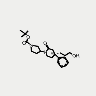 CC(C)(C)OC(=O)N1CCC(N2CC[C@](CCCO)(c3ccccc3)CC2=O)C1